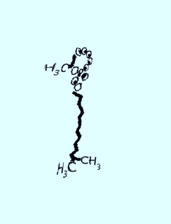 CC(C)CCCCCCCCCCCOOP1(=O)OOOOOCC(C)O1